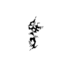 CC1(C(F)(F)F)CN(C(=O)Nc2cnnc(C(F)F)c2)c2cnc3cc(F)nn3c21